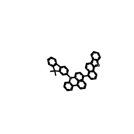 CC1(C)c2ccccc2-c2ccc(N(c3ccc(-c4cccc5c4ccc4c6ccccc6oc54)cc3)c3ccccc3-c3ccccc3)cc21